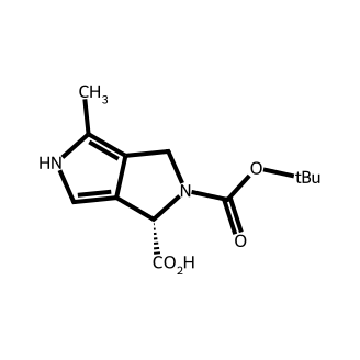 Cc1[nH]cc2c1CN(C(=O)OC(C)(C)C)[C@@H]2C(=O)O